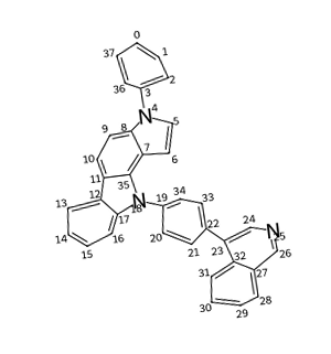 c1ccc(-n2ccc3c2ccc2c4ccccc4n(-c4ccc(-c5cncc6ccccc56)cc4)c23)cc1